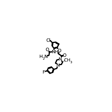 C[C@@H]1CN(Cc2ccc(F)cc2)CCN1C(=O)COc1ccc(Cl)cc1NC(=O)CN